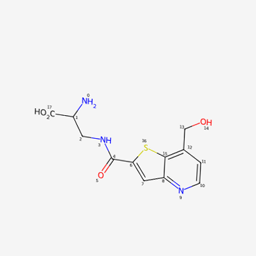 NC(CNC(=O)c1cc2nccc(CO)c2s1)C(=O)O